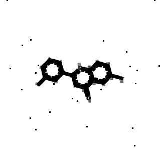 Cc1cccc(-c2cc(=O)c3cc(Br)ccc3o2)c1